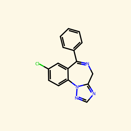 Clc1ccc2c(c1)C(c1ccccc1)=NCc1ncnn1-2